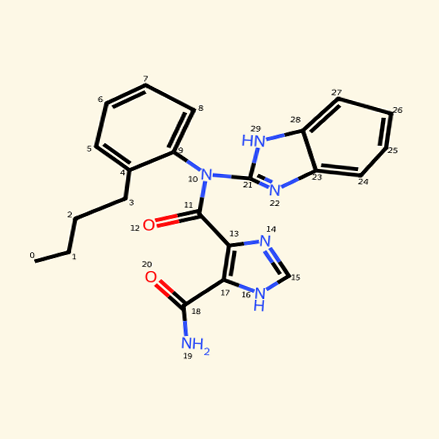 CCCCc1ccccc1N(C(=O)c1nc[nH]c1C(N)=O)c1nc2ccccc2[nH]1